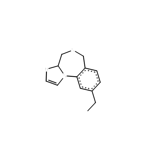 CCc1ccc2c(c1)N1C=CNC1CNC2